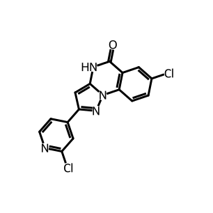 O=c1[nH]c2cc(-c3ccnc(Cl)c3)nn2c2ccc(Cl)cc12